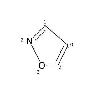 [c]1cnoc1